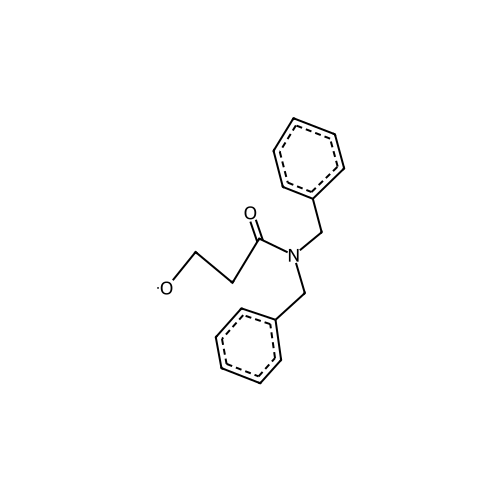 [O]CCC(=O)N(Cc1ccccc1)Cc1ccccc1